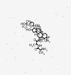 C[C@@H](N)C(=O)N[C@H](C)C(=O)O[C@H]1C[C@@H]2[C@]3(CC[C@]4(C)[C@@H]([C@]5(C)CC[C@@H](C(C)(C)O)O5)[C@@H](O)C[C@@]24C)C[C@@]32CCC(F)(F)C(C)(C)[C@H]12